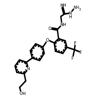 N=C(CNC(=O)c1cc(C(F)(F)F)ccc1Oc1ccc(-c2cccc(CCO)n2)cc1)NN